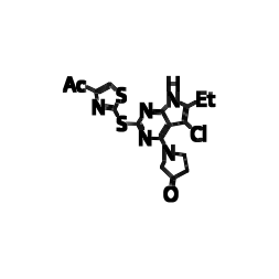 CCc1[nH]c2nc(Sc3nc(C(C)=O)cs3)nc(N3CCC(=O)C3)c2c1Cl